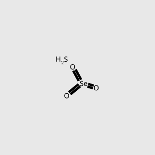 O=[Se](=O)=O.S